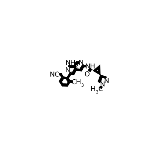 Cc1cccc(CC#N)c1-c1cc2cc(NC(=O)[C@@H]3C[C@H]3c3cnn(C)c3)ncc2c(N)n1